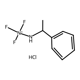 CC(N[N+](F)(F)F)c1ccccc1.Cl